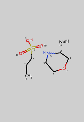 C1COCCN1.CCCS(=O)(=O)O.[NaH]